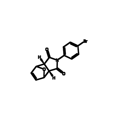 O=C1[C@@H]2C3C=CC(O3)[C@@H]2C(=O)N1c1ccc(Br)cc1